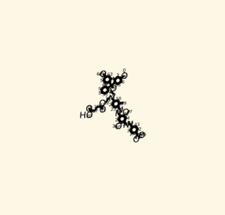 COc1ccc(C(OCCN(CCOC(=O)CCC(=O)O)c2ccc(N=Nc3cc(OC)c(N=Nc4ccc([N+](=O)[O-])cc4)cc3OC)c(C)c2)(c2ccccc2)c2ccc(OC)cc2)cc1